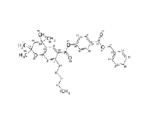 CCCCCc1cc2c(cc1C(=O)Oc1ccc(C(=O)OCc3ccccc3)cc1)C(C)(C)CC(C)(C)O2